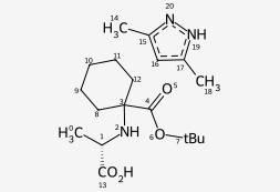 C[C@H](NC1(C(=O)OC(C)(C)C)CCCCC1)C(=O)O.Cc1cc(C)[nH]n1